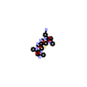 N#Cc1ccc2c(c1)c1ccccc1n2-c1cnc2c(c1)C1(c3ccc(-n4c5ccccc5c5ccccc54)cc3Sc3cc(-n4c5ccccc5c5ccccc54)ccc31)c1cc(-n3c4ccccc4c4cc(C#N)ccc43)cnc1-2